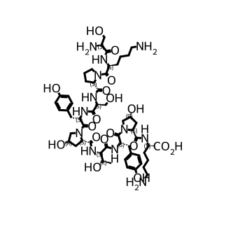 C[C@@H](O)[C@H](NC(=O)[C@@H]1C[C@@H](O)CN1C(=O)[C@H](Cc1ccc(O)cc1)NC(=O)[C@H](CO)NC(=O)[C@@H]1CCCN1C(=O)[C@H](CCCCN)NC(=O)[C@@H](N)CO)C(=O)N[C@@H](Cc1ccc(O)cc1)C(=O)N1C[C@H](O)C[C@H]1C(=O)N[C@@H](CCCCN)C(=O)O